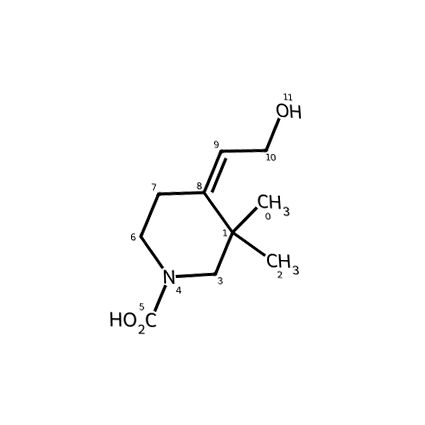 CC1(C)CN(C(=O)O)CCC1=CCO